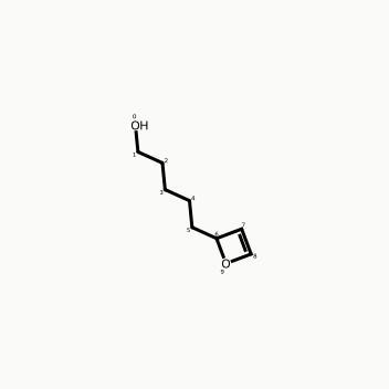 OCCCCCC1C=CO1